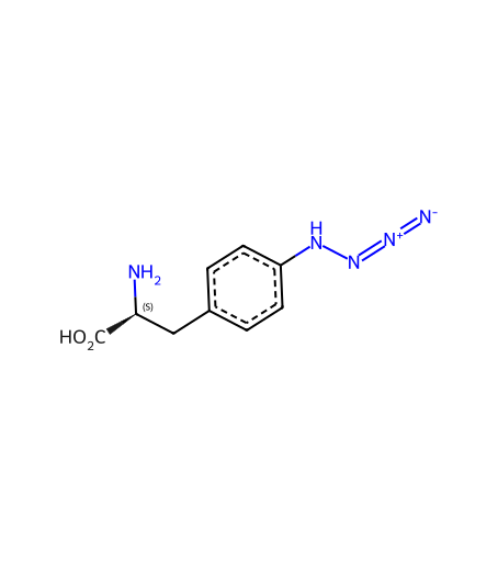 [N-]=[N+]=NNc1ccc(C[C@H](N)C(=O)O)cc1